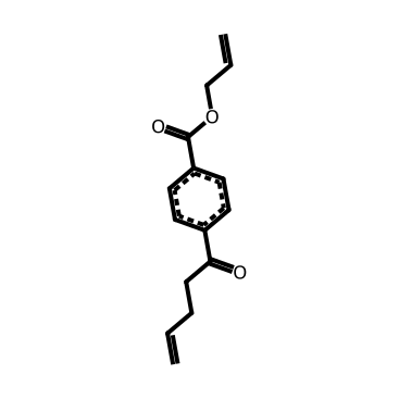 C=CCCC(=O)c1ccc(C(=O)OCC=C)cc1